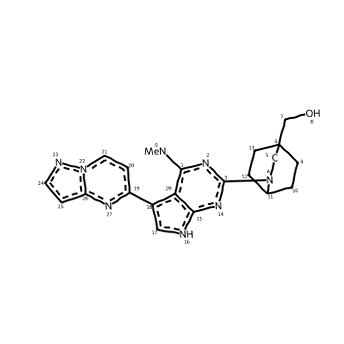 CNc1nc(N2CC3(CO)CCC2CC3)nc2[nH]cc(-c3ccn4nccc4n3)c12